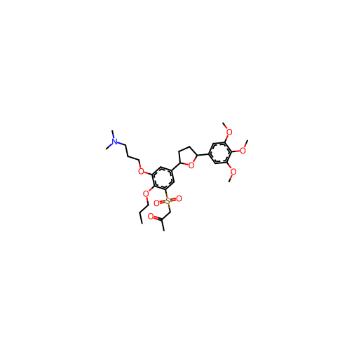 CCCOc1c(OCCCN(C)C)cc(C2CCC(c3cc(OC)c(OC)c(OC)c3)O2)cc1S(=O)(=O)CC(C)=O